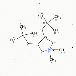 CC(C)(C)CC1C[N+](C)(C)CC1CC(C)(C)C